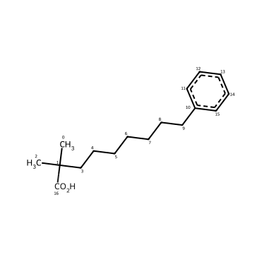 CC(C)(CCCCCCCc1ccccc1)C(=O)O